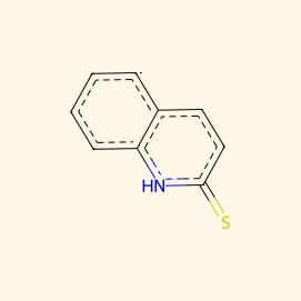 S=c1ccc2[c]cccc2[nH]1